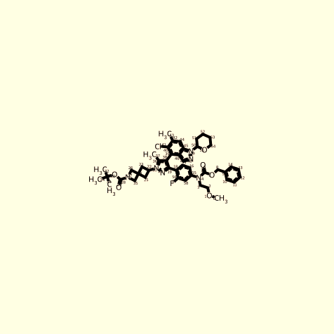 COCCN(C(=O)OCc1ccccc1)c1ccc(-c2nn(C3CC4(C3)CN(C(=O)OC(C)(C)C)C4)c(C)c2-c2c(Cl)c(C)cc3c2cnn3C2CCCCO2)c(F)c1